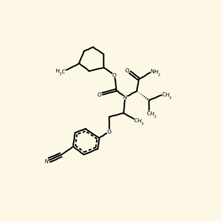 CC1CCCC(OC(=O)N(C(C)COc2ccc(C#N)cc2)[C@H](C(N)=O)C(C)C)C1